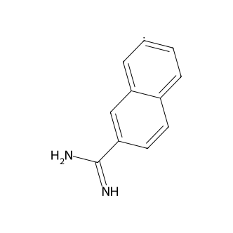 N=C(N)c1ccc2cc[c]cc2c1